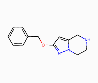 c1ccc(COc2cc3n(n2)CCNC3)cc1